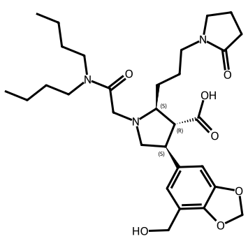 CCCCN(CCCC)C(=O)CN1C[C@H](c2cc(CO)c3c(c2)OCO3)[C@@H](C(=O)O)[C@@H]1CCCN1CCCC1=O